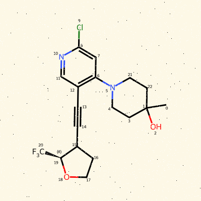 CC1(O)CCN(c2cc(Cl)ncc2C#CC2CCO[C@H]2C(F)(F)F)CC1